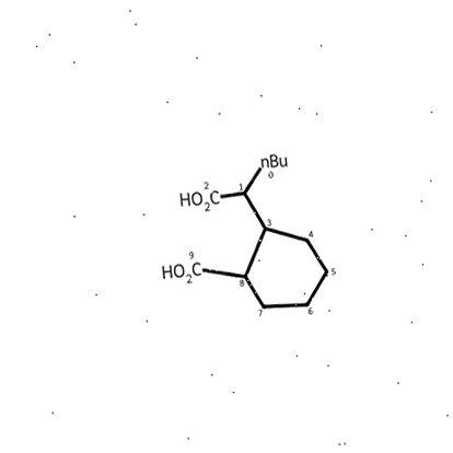 CCCCC(C(=O)O)C1C[CH]CCC1C(=O)O